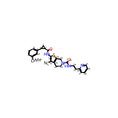 COc1cccc(C2CC2C(=O)Nc2sc3c(c2C#N)CCN(C(=O)NCCc2ccccn2)C3)c1